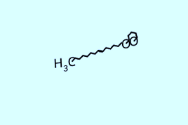 CCCCCCCC=CCCCCCOC1CCCCO1